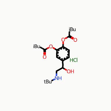 CCC(C)C(=O)Oc1ccc(C(O)CNC(C)(C)C)cc1OC(=O)C(C)CC.Cl